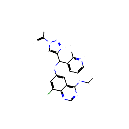 C=C(CC)n1cc(C(Nc2cc(Cl)c3ncnc(NCC(C)(C)C)c3c2)c2cccnc2C)nn1